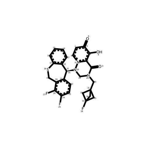 O=C1c2c(O)c(=O)ccn2N([C@@H]2c3ccccc3SCc3c2ccc(F)c3F)CN1CC12CC(F)(C1)C2